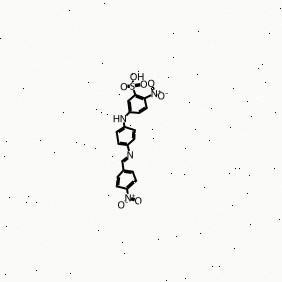 O=[N+]([O-])c1ccc(C=Nc2ccc(Nc3ccc([N+](=O)[O-])c(S(=O)(=O)O)c3)cc2)cc1